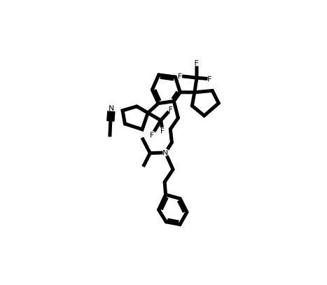 CC#N.CC(C)N(CCCc1c(C2(C(F)(F)F)CCCC2)cccc1C1(C(F)(F)F)CCCC1)CCc1ccccc1